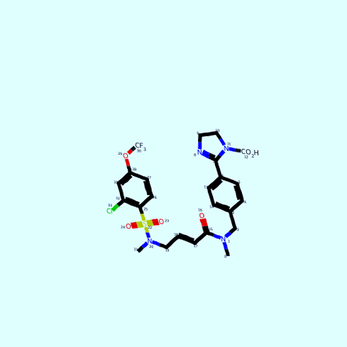 CN(Cc1ccc(C2=NCCN2C(=O)O)cc1)C(=O)C=CCN(C)S(=O)(=O)c1ccc(OC(F)(F)F)cc1Cl